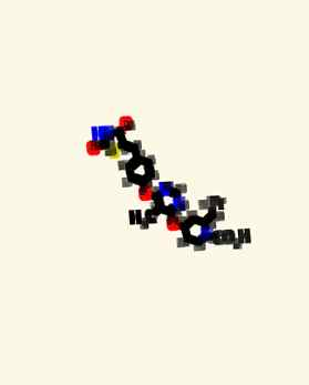 Cc1c(Oc2ccc(/C=C3\SC(=O)NC3=O)cc2)ncnc1OC1CCN(C(=O)O)C(CC(C)C)C1